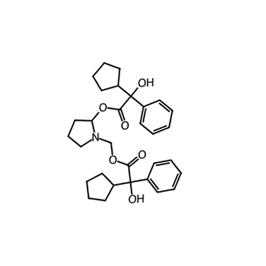 O=C(OCN1CCCC1OC(=O)C(O)(c1ccccc1)C1CCCC1)C(O)(c1ccccc1)C1CCCC1